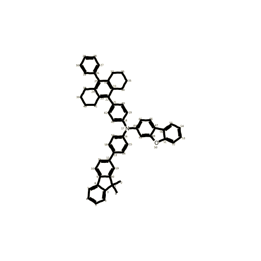 CC1(C)c2ccccc2-c2ccc(-c3ccc(N(c4ccc(-c5c6c(c(-c7ccccc7)c7c5CCCC7)CCCC6)cc4)c4ccc5c(c4)oc4ccccc45)cc3)cc21